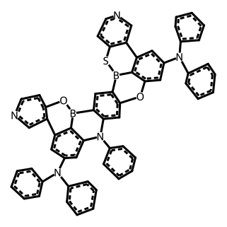 c1ccc(N(c2ccccc2)c2cc3c4c(c2)-c2cnccc2SB4c2cc4c(cc2O3)N(c2ccccc2)c2cc(N(c3ccccc3)c3ccccc3)cc3c2B4Oc2ccncc2-3)cc1